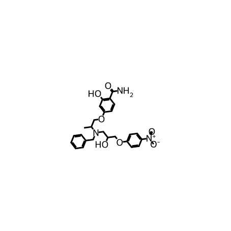 CC(COc1ccc(C(N)=O)c(O)c1)N(Cc1ccccc1)CC(O)COc1ccc([N+](=O)[O-])cc1